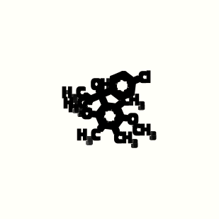 COc1c(C)c(C)c(OC)c(C(O)(c2ccc(Cl)cc2)C(C)C)c1C